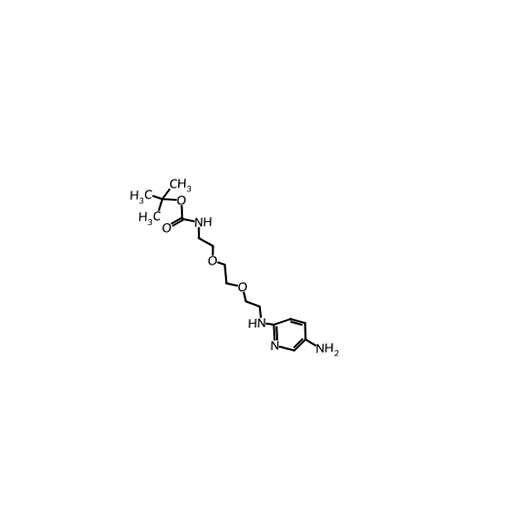 CC(C)(C)OC(=O)NCCOCCOCCNc1ccc(N)cn1